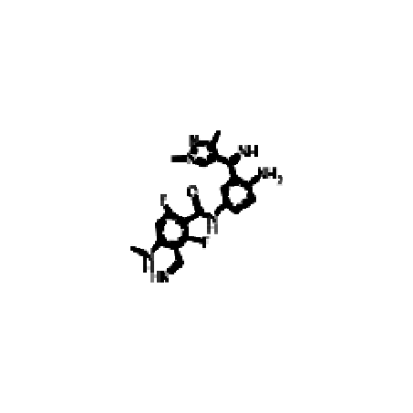 CNc1cc(F)c(C(=O)Nc2ccc(N)c(C(=N)c3cn(C)nc3C)c2)c(F)c1C=N